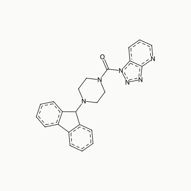 O=C(N1CCN(C2c3ccccc3-c3ccccc32)CC1)n1nnc2ncccc21